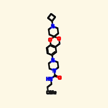 COCCNC(=O)N1CCN(c2ccc3c(c2)COC2(CCN(C4CCC4)CC2)O3)CC1